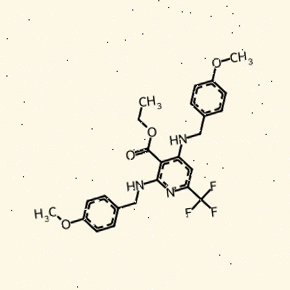 CCOC(=O)c1c(NCc2ccc(OC)cc2)cc(C(F)(F)F)nc1NCc1ccc(OC)cc1